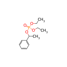 CCOP(=O)(OCC)OC(C)c1ccccc1